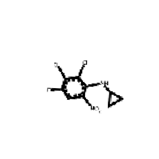 O=[N+]([O-])c1cc(F)c(Cl)c(Cl)c1NC1CC1